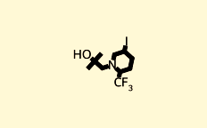 CC(C)(O)CN1CC(I)CCC1C(F)(F)F